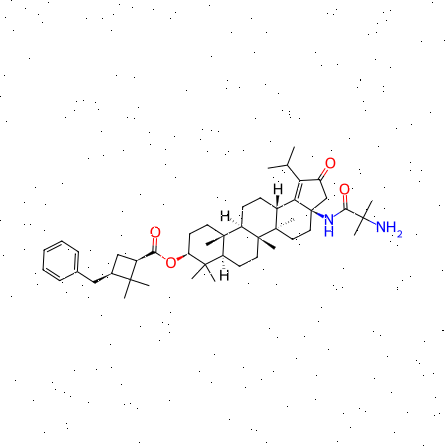 CC(C)C1=C2[C@H]3CC[C@@H]4[C@@]5(C)CC[C@H](OC(=O)[C@@H]6C[C@H](Cc7ccccc7)C6(C)C)C(C)(C)[C@@H]5CC[C@@]4(C)[C@]3(C)CC[C@@]2(NC(=O)C(C)(C)N)CC1=O